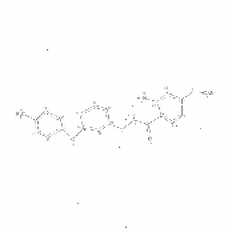 COCc1ccc(C(=O)NCc2cccc(Oc3ccc(C(F)(F)F)cc3)c2)c(N)n1